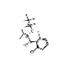 CC(C)[C@H](O[Si](C)(C)C(C)(C)C)[C@@H](O)c1c(Cl)cccc1Cl